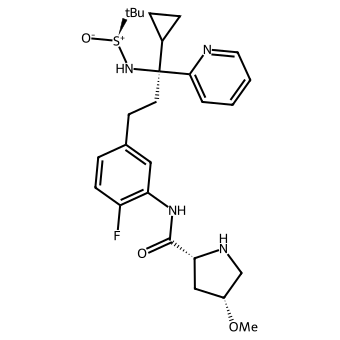 CO[C@H]1CN[C@@H](C(=O)Nc2cc(CC[C@@](N[S@@+]([O-])C(C)(C)C)(c3ccccn3)C3CC3)ccc2F)C1